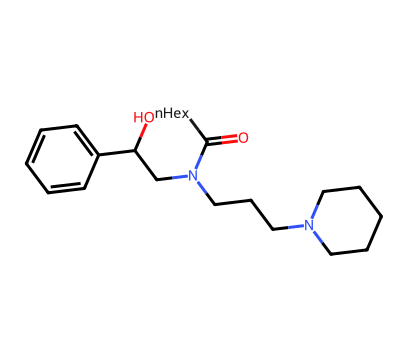 CCCCCCC(=O)N(CCCN1CCCCC1)CC(O)c1ccccc1